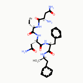 CC(C)C[C@H](NC(=O)[C@@H](N)CC(N)=O)C(=O)N[C@@H](CC(N)=O)C(=O)N[C@@H](Cc1ccccc1)C(=O)N[C@@H](Cc1ccccc1)C(=O)O